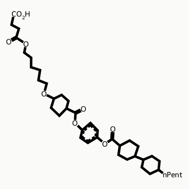 CCCCCC1CCC(C2CCC(C(=O)Oc3ccc(OC(=O)C4CCC(OCCCCCCOC(=O)CCC(=O)O)CC4)cc3)CC2)CC1